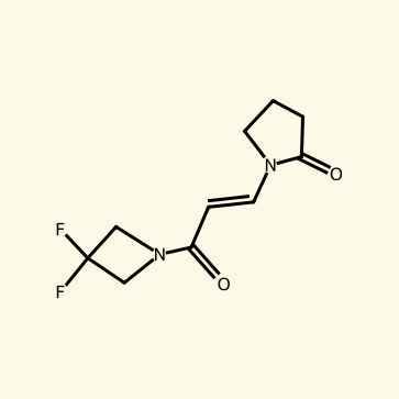 O=C1CCCN1/C=C/C(=O)N1CC(F)(F)C1